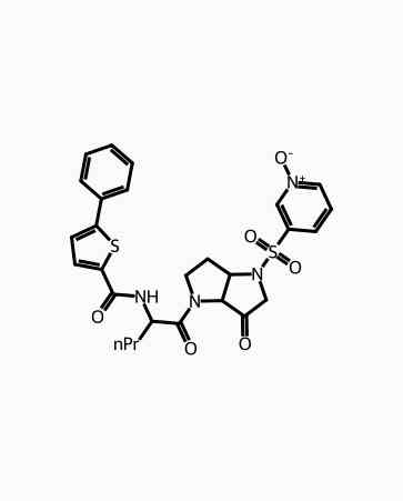 CCCC(NC(=O)c1ccc(-c2ccccc2)s1)C(=O)N1CCC2C1C(=O)CN2S(=O)(=O)c1ccc[n+]([O-])c1